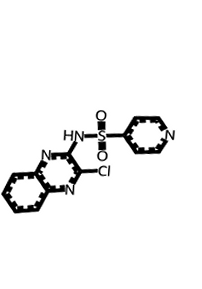 O=S(=O)(Nc1nc2ccccc2nc1Cl)c1ccncc1